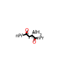 CCCC(=O)[CH]CC(=O)CCC.[AlH3]